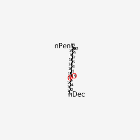 CCCCCCCCCCCCCCCCOC(=O)CCCCCCCCCCCC(C)CCCCC